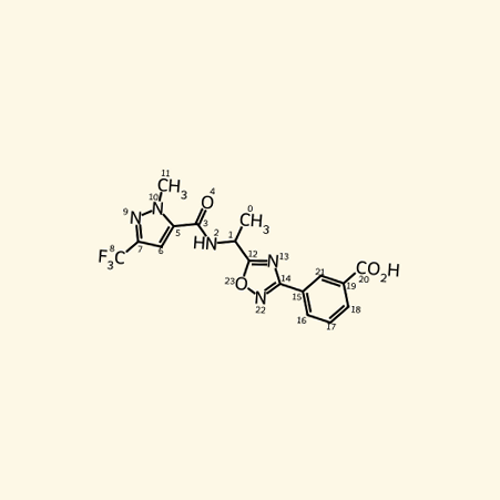 CC(NC(=O)c1cc(C(F)(F)F)nn1C)c1nc(-c2cccc(C(=O)O)c2)no1